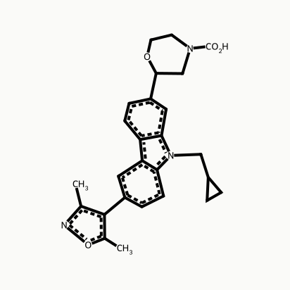 Cc1noc(C)c1-c1ccc2c(c1)c1ccc(C3CN(C(=O)O)CCO3)cc1n2CC1CC1